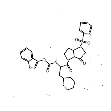 O=C(NC(CC1CCCCC1)C(=O)N1CCC2C1C(=O)CN2S(=O)(=O)c1ccccn1)Oc1csc2ccccc12